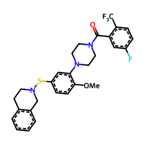 COc1ccc(SN2CCc3ccccc3C2)cc1N1CCN(C(=O)c2cc(F)ccc2C(F)(F)F)CC1